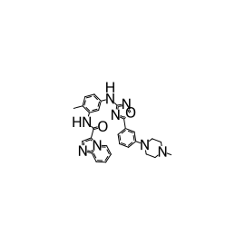 Cc1ccc(Nc2noc(-c3cccc(N4CCN(C)CC4)c3)n2)cc1NC(=O)c1cnc2ccccn12